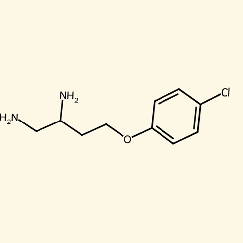 NCC(N)CCOc1ccc(Cl)cc1